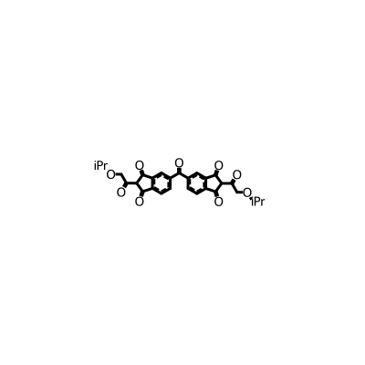 CC(C)OCC(=O)C1C(=O)c2ccc(C(=O)c3ccc4c(c3)C(=O)C(C(=O)COC(C)C)C4=O)cc2C1=O